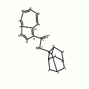 O=C(NC1C2CC3CC(C2)CC1C3)c1nnc2cccccc1-2